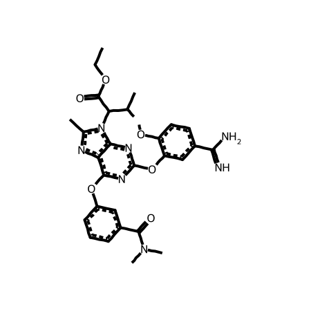 CCOC(=O)C(C(C)C)n1c(C)nc2c(Oc3cccc(C(=O)N(C)C)c3)nc(Oc3cc(C(=N)N)ccc3OC)nc21